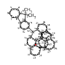 CC1(C)c2ccccc2-c2ccc(N(c3ccccc3-c3cccc4cccc(-c5ccccc5)c34)c3cccc4sc5ccccc5c34)cc21